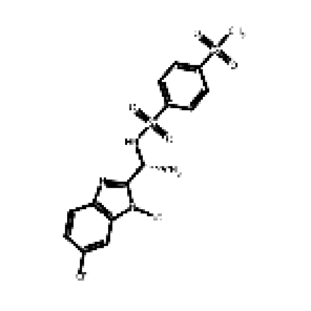 CCn1c([C@@H](C)NS(=O)(=O)c2ccc(S(C)(=O)=O)cc2)nc2ccc(C(F)(F)F)cc21